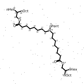 CCCCCCCCC(CCCCCC)COC(=O)CCCCCCCN(CCCCC)CCCCCCCC(=O)OCC(CCCCCC)CCCCCCCC